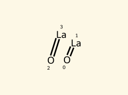 [O]=[La].[O]=[La]